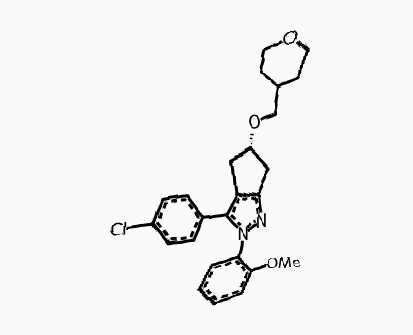 COc1ccccc1-n1nc2c(c1-c1ccc(Cl)cc1)C[C@H](OCC1CCOCC1)C2